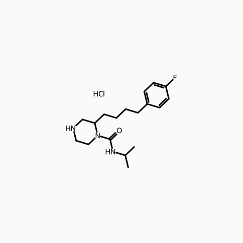 CC(C)NC(=O)N1CCNCC1CCCCc1ccc(F)cc1.Cl